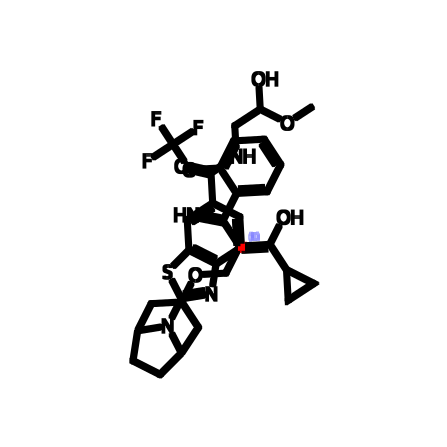 COC(O)CNC(=O)c1ccc2nc(N3C4CCC3CC(OC/C(C(=N)c3ccccc3OC(F)(F)F)=C(/O)C3CC3)C4)sc2c1